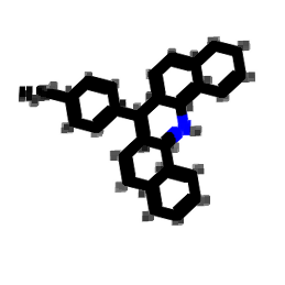 [SiH3]c1ccc(-c2c3ccc4c(c3nc3c2ccc2ccccc23)C=CCC4)cc1